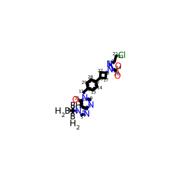 BC(B)(B)n1cnc2ncn(Cc3ccc(C4CC(n5nc(CCl)oc5=O)C4)cc3)c(=O)c21